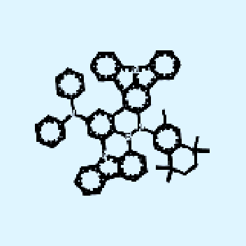 Cc1cc2c(cc1N1B3c4c(cc(N(c5ccccc5)c5ccccc5)cc4-n4c5ccccc5c5cccc3c54)-c3c1cc1c4ccccc4n4c5ccccc5c3c14)C(C)(C)CCC2(C)C